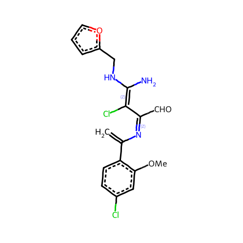 C=C(/N=C(C=O)\C(Cl)=C(/N)NCc1ccco1)c1ccc(Cl)cc1OC